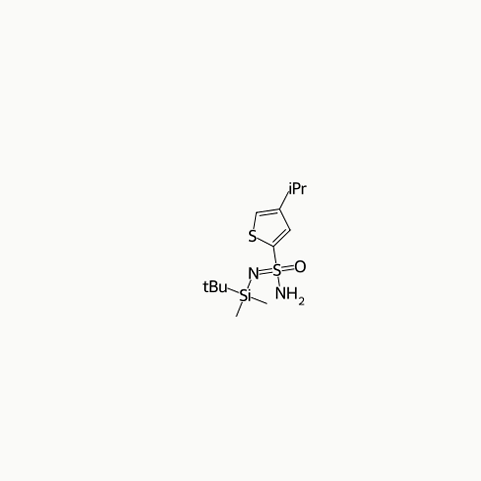 CC(C)c1csc(S(N)(=O)=N[Si](C)(C)C(C)(C)C)c1